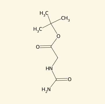 CC(C)(C)OC(=O)CNC(N)=O